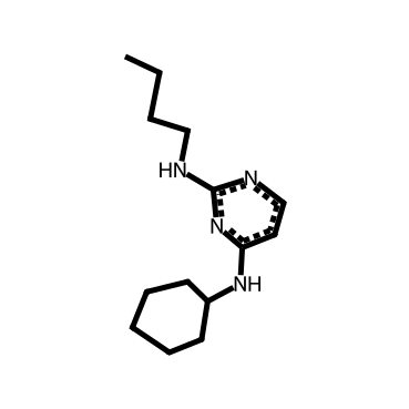 CCCCNc1nccc(NC2CCCCC2)n1